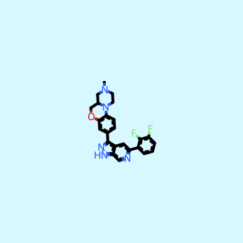 CN1CCN2c3ccc(-c4n[nH]c5cnc(-c6cccc(F)c6F)cc45)cc3OCC2C1